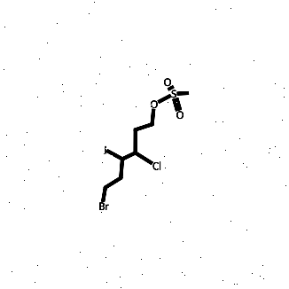 CS(=O)(=O)OCCC(Cl)C(I)CCBr